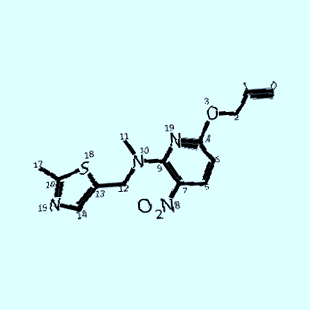 C=CCOc1ccc([N+](=O)[O-])c(N(C)Cc2cnc(C)s2)n1